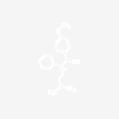 COc1ccc(C(O)/C(=C/CN(C)C)c2ccccc2)cc1